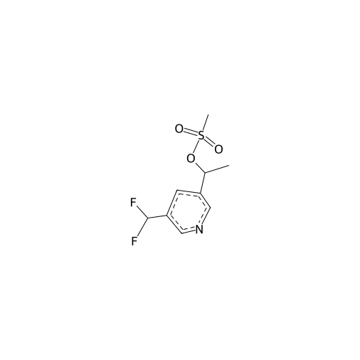 CC(OS(C)(=O)=O)c1cncc(C(F)F)c1